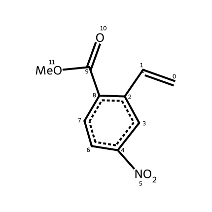 C=[C]c1cc([N+](=O)[O-])ccc1C(=O)OC